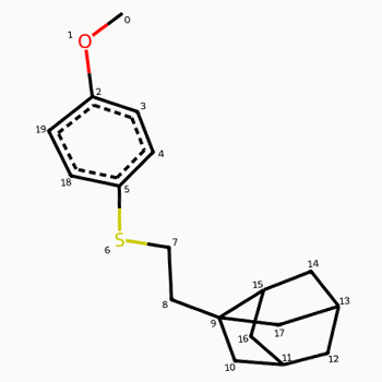 COc1ccc(SCCC23CC4CC(CC2C4)C3)cc1